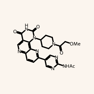 COCC(=O)N1CCC(n2c(=O)[nH]c(=O)c3cnc4ccc(-c5cnc(NC(C)=O)nc5)nc4c32)CC1